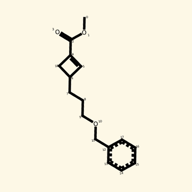 COC(=O)C1=CC(CCCOCc2ccccc2)C1